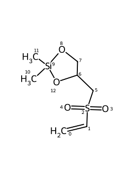 C=CS(=O)(=O)CC1CO[Si](C)(C)O1